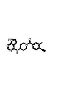 C#Cc1ccc(C(=O)N2CCC(N(C)c3ncnc4[nH]ccc34)CC2)cc1C